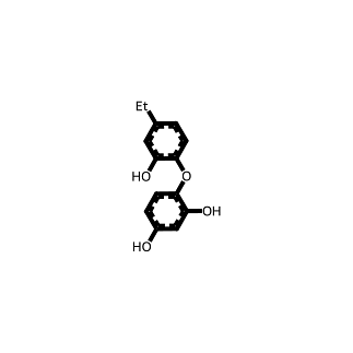 CCc1ccc(Oc2ccc(O)cc2O)c(O)c1